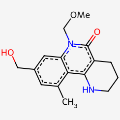 COCn1c(=O)c2c(c3c(C)cc(CO)cc31)NCCC2